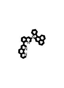 C1=Cc2cccc3cc4c(c(c23)C1)c1ccccc1n4-c1cnc2c(-c3cnc4c(ccc5cccnc54)c3)cccc2c1